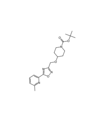 Cc1cccc(-c2nc(COC3CCN(C(=O)OC(C)(C)C)CC3)no2)n1